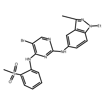 CCn1nc(C)c2cc(Nc3ncc(Br)c(Nc4ccccc4S(C)(=O)=O)n3)ccc21